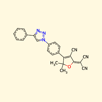 CC1(C)OC(=C(C#N)C#N)C(C#N)=C1c1ccc(-n2cc(-c3ccccc3)nn2)cc1